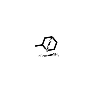 CC1CC2CCN1CC2.CCCCCN